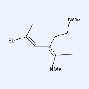 CC/C(C)=C/C(CCNC)=C(/C)NC